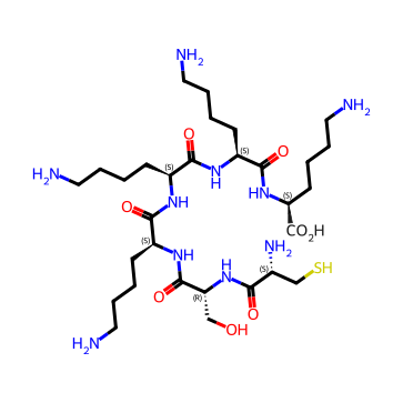 NCCCC[C@H](NC(=O)[C@H](CCCCN)NC(=O)[C@H](CCCCN)NC(=O)[C@H](CCCCN)NC(=O)[C@@H](CO)NC(=O)[C@H](N)CS)C(=O)O